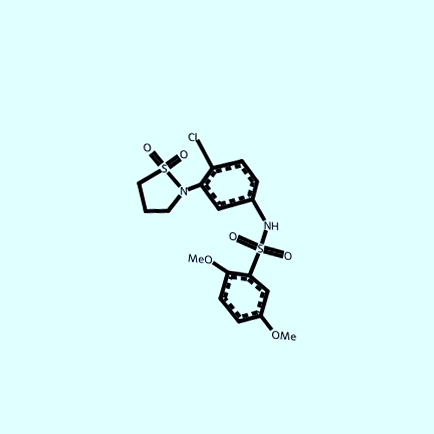 COc1ccc(OC)c(S(=O)(=O)Nc2ccc(Cl)c(N3CCCS3(=O)=O)c2)c1